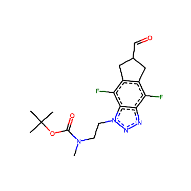 CN(CCn1nnc2c(F)c3c(c(F)c21)CC(C=O)C3)C(=O)OC(C)(C)C